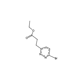 CCOC(=O)CCc1ccc(Br)nn1